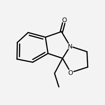 CCC12OCCN1C(=O)c1ccccc12